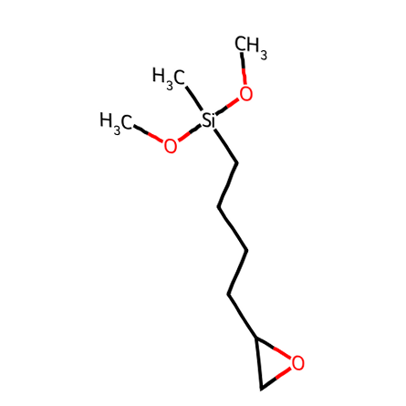 CO[Si](C)(CCCCC1CO1)OC